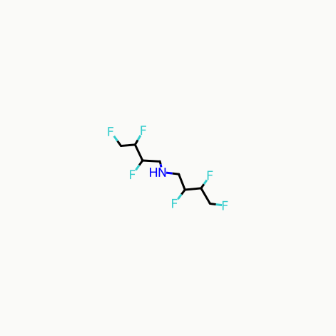 FCC(F)C(F)CNCC(F)C(F)CF